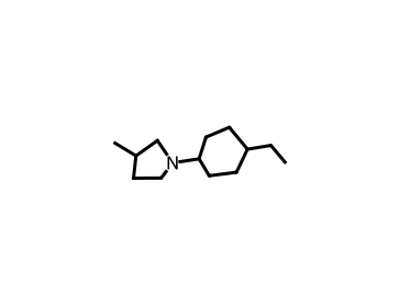 CCC1CCC(N2CCC(C)C2)CC1